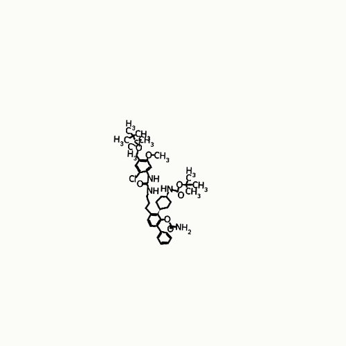 COc1cc(NC(=O)NCCCc2ccc(-c3ccccc3)c(OC(N)=O)c2[C@H]2CC[C@H](NC(=O)OC(C)(C)C)CC2)c(Cl)cc1CO[Si](C)(C)C(C)(C)C